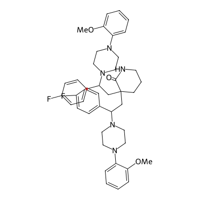 COc1ccccc1N1CCN(C(CC2(CC(c3ccc(F)cc3)N3CCN(c4ccccc4OC)CC3)CCCNC2=O)c2ccc(F)cc2)CC1